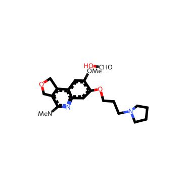 CNc1nc2cc(OCCCN3CCCC3)c(OC)cc2c2c1COC2.O=CO